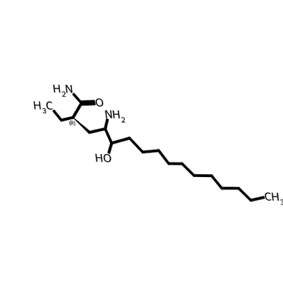 CCCCCCCCCCCC(O)C(N)C[C@@H](CC)C(N)=O